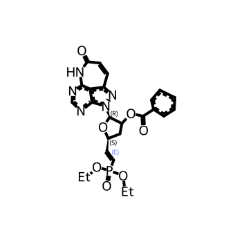 CCOP(=O)(/C=C/[C@@H]1CC(OC(=O)c2ccccc2)[C@H](n2nc3c4c(ncnc42)NC(=O)C=C3)O1)OCC